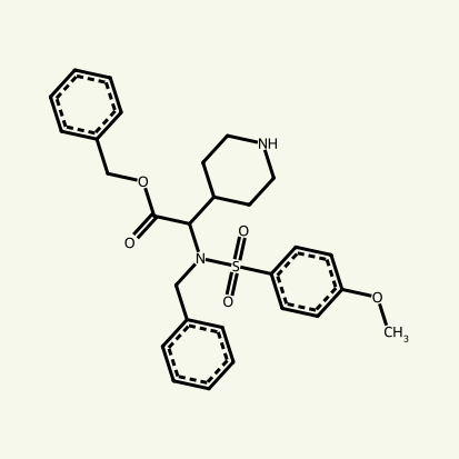 COc1ccc(S(=O)(=O)N(Cc2ccccc2)C(C(=O)OCc2ccccc2)C2CCNCC2)cc1